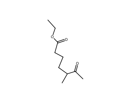 CCOC(=O)CCCC(C)C(C)=O